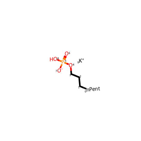 CCCCCCCCOP(=O)([O-])O.[K+]